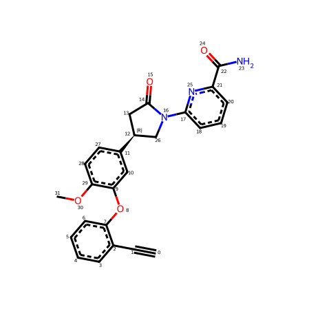 C#Cc1ccccc1Oc1cc([C@H]2CC(=O)N(c3cccc(C(N)=O)n3)C2)ccc1OC